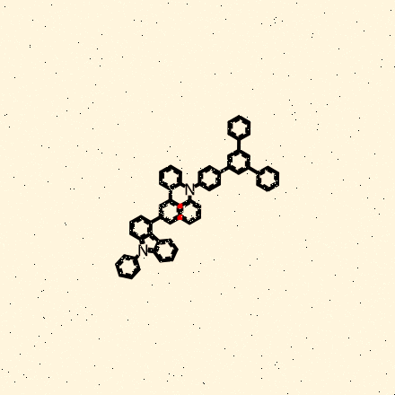 c1ccc(-c2cc(-c3ccccc3)cc(-c3ccc(N(c4ccccc4)c4ccccc4-c4cccc(-c5cccc6c5c5ccccc5n6-c5ccccc5)c4)cc3)c2)cc1